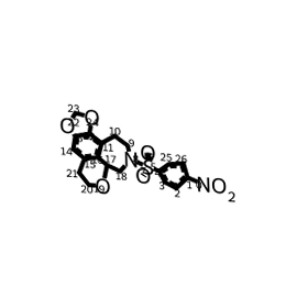 O=[N+]([O-])c1ccc(S(=O)(=O)N2CCc3c4c(cc5c3C(C2)OCC5)OCO4)cc1